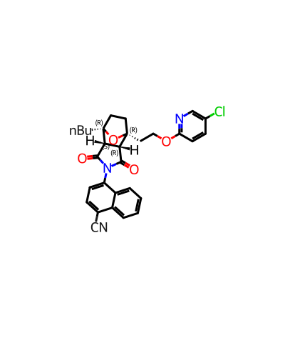 CCCC[C@]12CC[C@](CCOc3ccc(Cl)cn3)(O1)[C@@H]1C(=O)N(c3ccc(C#N)c4ccccc34)C(=O)[C@@H]12